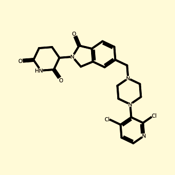 O=C1CCC(N2Cc3cc(CN4CCN(c5c(Cl)ccnc5Cl)CC4)ccc3C2=O)C(=O)N1